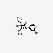 CCCC(O)(CCC)C(=O)Nc1ccnc(Br)c1